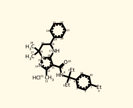 CCc1ccc(C(CC)(CC)NC(=O)c2c(C)nn3c2NC(c2ccccc2)CC3(C)C)cc1.Cl